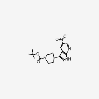 CC(C)(C)OC(=O)N1CCC(c2n[nH]c3ncc([N+](=O)[O-])cc23)CC1